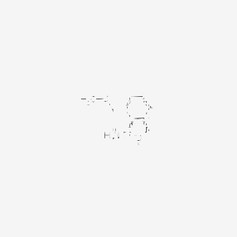 COCc1cccc2noc(N)c12